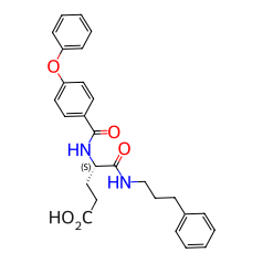 O=C(O)CC[C@H](NC(=O)c1ccc(Oc2ccccc2)cc1)C(=O)NCCCc1ccccc1